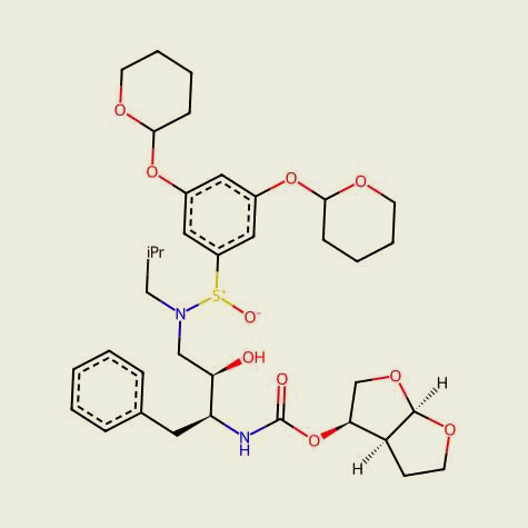 CC(C)CN(C[C@@H](O)[C@H](Cc1ccccc1)NC(=O)O[C@H]1CO[C@H]2OCC[C@H]21)[S+]([O-])c1cc(OC2CCCCO2)cc(OC2CCCCO2)c1